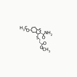 COC(=O)CCSc1c(C(N)=O)sc2ccc(OC)cc12